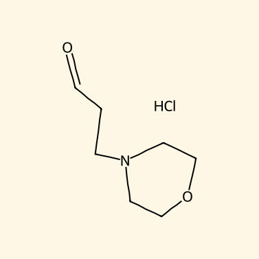 Cl.O=CCCN1CCOCC1